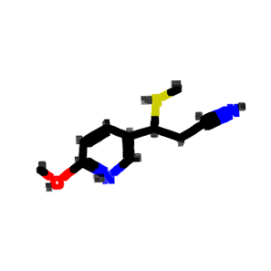 COc1ccc(C(CC#N)SC)cn1